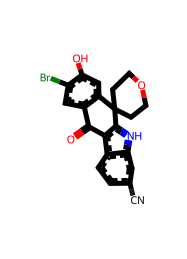 N#Cc1ccc2c3c([nH]c2c1)C1(CCOCC1)c1cc(O)c(Br)cc1C3=O